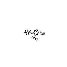 CC(C)(C)[Si](C)(C)OC[C@@H]1CO[C@H](CO)CN1C(=O)O